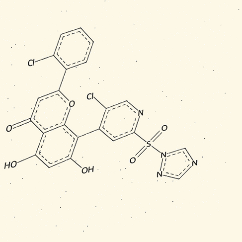 O=c1cc(-c2ccccc2Cl)oc2c(-c3cc(S(=O)(=O)n4cncn4)ncc3Cl)c(O)cc(O)c12